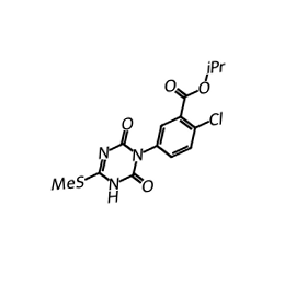 CSc1nc(=O)n(-c2ccc(Cl)c(C(=O)OC(C)C)c2)c(=O)[nH]1